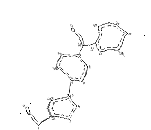 O=Cc1ccn(-c2ccc(C(=O)c3ccccc3)cc2)c1